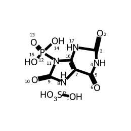 O=S(=O)(O)O.O=c1[nH]c(=O)c2[nH]c(=O)n(P(=O)(O)O)c2[nH]1